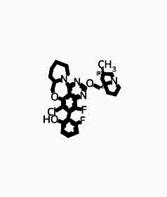 C[C@H]1CN2CCC[C@@]2(COc2nc3c4c(c(Cl)c(-c5c(O)cccc5F)c(F)c4n2)OCC2CCCCCN32)C1